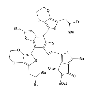 CCCCCCCCN1C(=O)c2c(-c3cc4c(-c5sc(CC(CC)CCCC)c6c5OCCO6)c5sc(C(C)(C)C)cc5c(-c5sc(CC(CC)CCCC)c6c5OCCO6)c4s3)sc(C(C)(C)C)c2C1=O